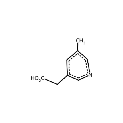 Cc1cncc(CC(=O)O)c1